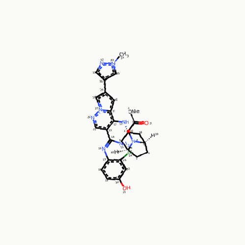 COC(=O)CN1[C@@H]2CC[C@H]1C[C@H](Nc1c(/C(N)=N/c3ccc(O)cc3Cl)cnn3cc(-c4cnn(C)c4)cc13)C2